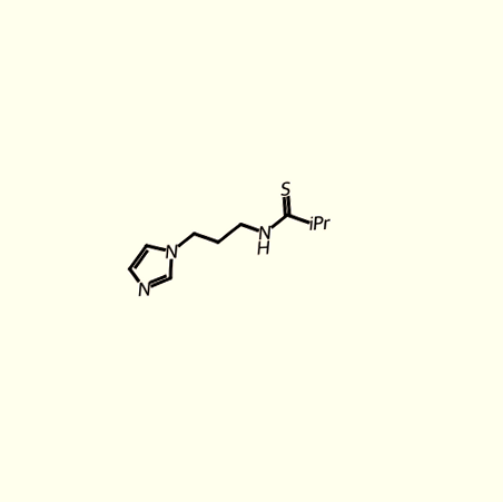 CC(C)C(=S)NCCCn1ccnc1